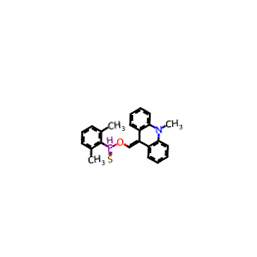 Cc1cccc(C)c1[PH](=S)OC=C1c2ccccc2N(C)c2ccccc21